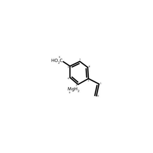 C=Cc1ccc(C(=O)O)cc1.[MgH2]